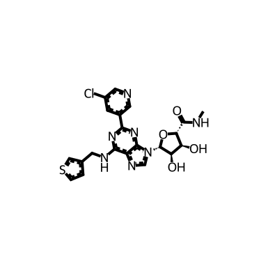 CNC(=O)[C@H]1O[C@@H](n2cnc3c(NCc4ccsc4)nc(-c4cncc(Cl)c4)nc32)[C@H](O)[C@@H]1O